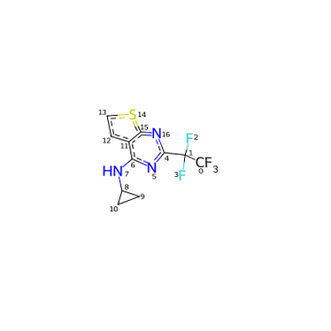 FC(F)(F)C(F)(F)c1nc(NC2CC2)c2ccsc2n1